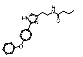 CCCC(=O)NCCc1c[nH]c(-c2ccc(Oc3ccccc3)cc2)n1